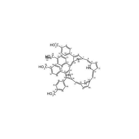 O=C(O)c1ccc(C2=Cc3cc4ccc(cc5nc(cc6[nH]c(c(-c7ccc(C(=O)O)cc7)c2n3)c(-c2ccc(C(=O)O)cc2)c6-c2ccc(C(=O)O)cc2)C=C5)[nH]4)cc1.[Mn]